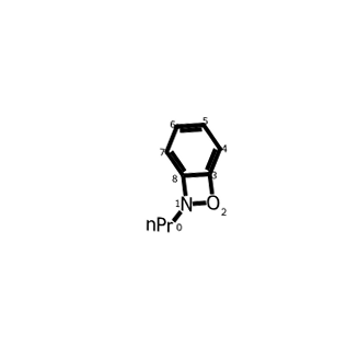 CCCn1oc2ccccc21